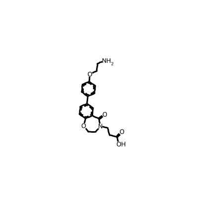 NCCOc1ccc(-c2ccc3c(c2)C(=O)N(CCC(=O)O)CCO3)cc1